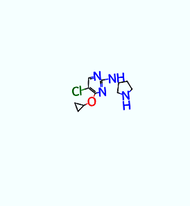 Clc1cnc(NC2CCNC2)nc1OC1CC1